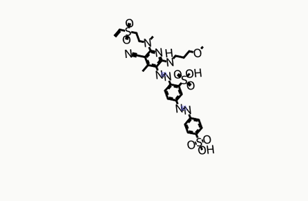 C=CS(=O)(=O)CCN(C)c1nc(NCCCOC)c(/N=N/c2ccc(/N=N/c3ccc(S(=O)(=O)O)cc3)cc2S(=O)(=O)O)c(C)c1C#N